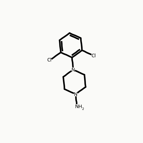 NN1CCN(c2c(Cl)cccc2Cl)CC1